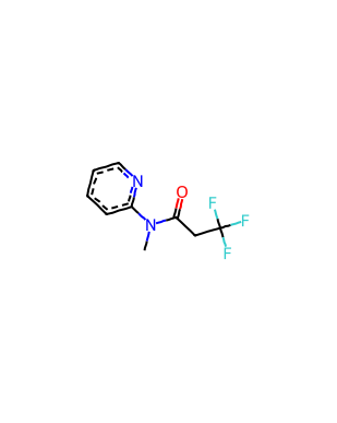 CN(C(=O)CC(F)(F)F)c1ccccn1